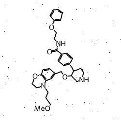 COCCCN1CCOc2ccc(COC3CNCCC3c3ccc(C(=O)NCCOc4ccccc4)cc3)cc21